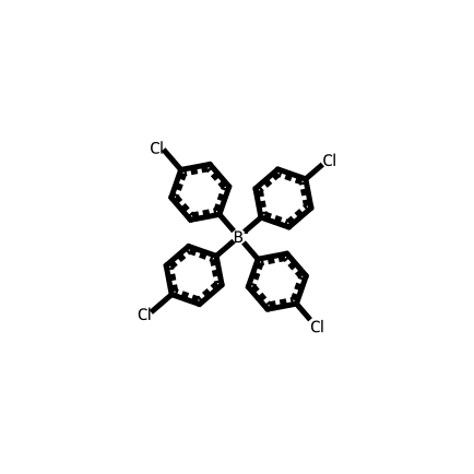 Clc1ccc([B-](c2ccc(Cl)cc2)(c2ccc(Cl)cc2)c2ccc(Cl)cc2)cc1